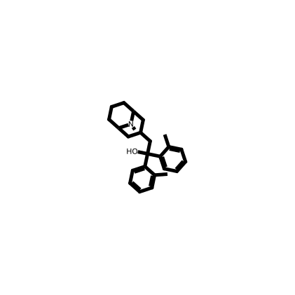 Cc1ccccc1C(O)(CC1CC2CCCC(C1)N2C)c1ccccc1C